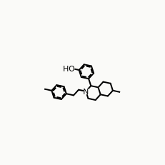 Cc1ccc(CCN2CCC3CC(C)CCC3C2c2cccc(O)c2)cc1